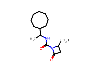 CC(NC(=O)N1C(=O)CC1C(=O)O)C1CCCCCCC1